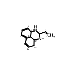 C=CC1NC2C=CC=C3C=CCC(N1)C32